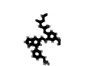 COCC(C)OC(=O)Cc1ccc(OC)cc1OCc1cc(-c2cccc(CN)c2)c2occc2c1